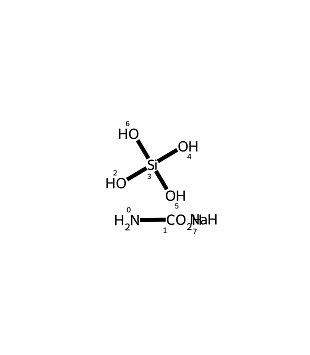 NC(=O)O.O[Si](O)(O)O.[NaH]